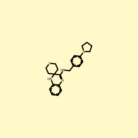 c1ccc2c(c1)N=C(NCc1ccc(N3CCCC3)cc1)C1(CCSCC1)N2